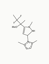 COC(C)(C1=CC(n2c(C)ccc2C)NN1C)C(C)(F)F